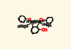 CCCCCCCC(CCCCCCC)(Oc1ccccc1)c1cccc(O)c1C(CCCCCCC)(CCCCCCC)Oc1ccccc1